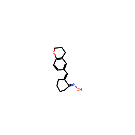 ON=C1CCCCC1=Cc1ccc2c(c1)CCCO2